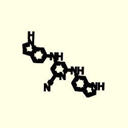 N#Cc1cc(Nc2ccc3cc[nH]c3c2)cc(Nc2ccc3cc[nH]c3c2)n1